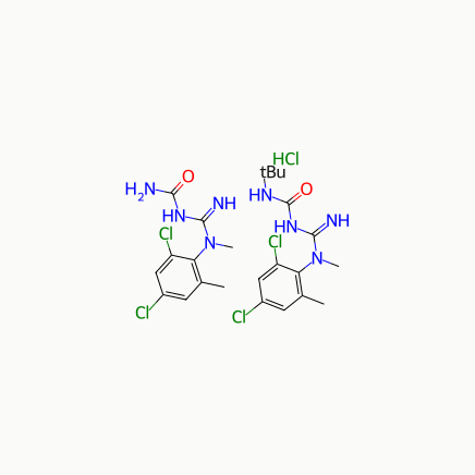 Cc1cc(Cl)cc(Cl)c1N(C)C(=N)NC(=O)NC(C)(C)C.Cc1cc(Cl)cc(Cl)c1N(C)C(=N)NC(N)=O.Cl